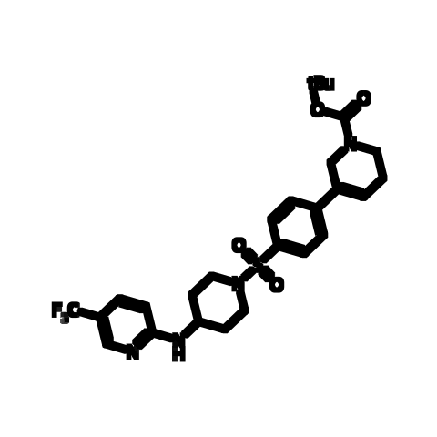 CC(C)(C)OC(=O)N1CCC=C(c2ccc(S(=O)(=O)N3CCC(Nc4ccc(C(F)(F)F)cn4)CC3)cc2)C1